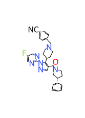 N#Cc1ccc(CN2CCC(c3c(C(=O)N4CC[C@H](c5ccccc5)C4)cnn3-c3ncc(F)cn3)CC2)cc1